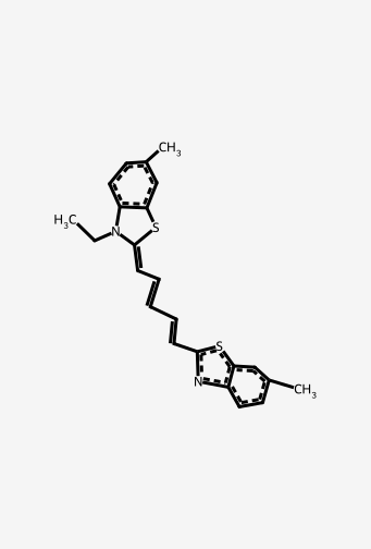 CCN1/C(=C/C=C/C=C/c2nc3ccc(C)cc3s2)Sc2cc(C)ccc21